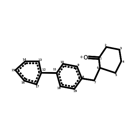 O=C1CCCCC1Cc1ccc(-c2ccccc2)cc1